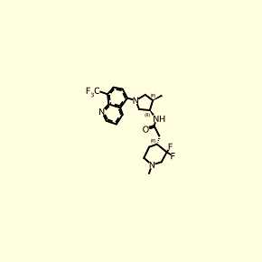 C[C@@H]1CN(c2ccc(C(F)(F)F)c3ncccc23)C[C@@H]1NC(=O)C[C@H]1CCN(C)CC1(F)F